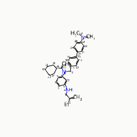 C=C(CC)CNc1cccc(N(Cc2ccc(-c3ccc(N(C)C)cc3)cc2)C(=C)C2CCCCC2)c1